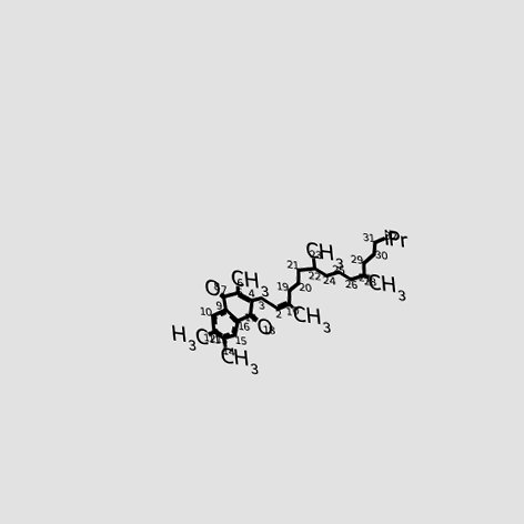 CC(=CCC1=C(C)C(=O)c2cc(C)c(C)cc2C1=O)CCCC(C)CCCC(C)CCCC(C)C